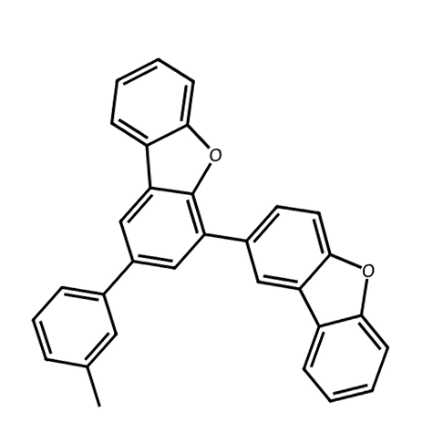 Cc1cccc(-c2cc(-c3ccc4oc5ccccc5c4c3)c3oc4ccccc4c3c2)c1